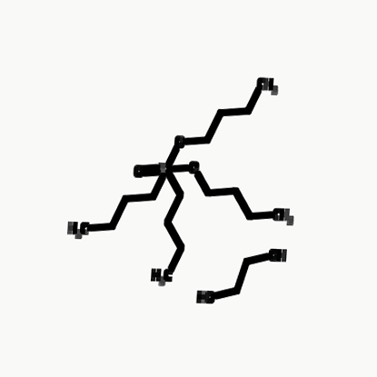 CCCC[O][Ti](=[O])([CH2]CCC)([CH2]CCC)[O]CCCC.OCCO